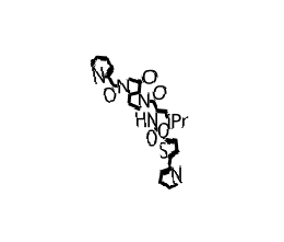 CC(C)CC(NC(=O)Oc1ccc(-c2ccccn2)s1)C(=O)N1CCC2C1C(=O)CN2C(=O)c1ccccn1